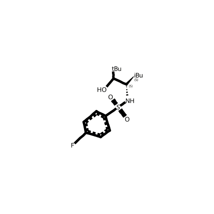 CC[C@H](C)[C@H](NS(=O)(=O)c1ccc(F)cc1)C(O)C(C)(C)C